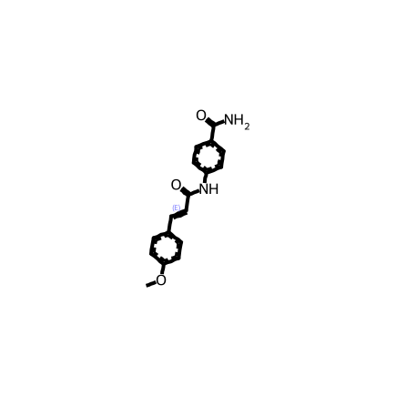 COc1ccc(/C=C/C(=O)Nc2ccc(C(N)=O)cc2)cc1